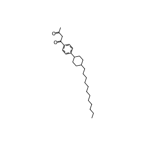 CCCCCCCCCCCCC1CCC(c2ccc(C(=O)CC(C)=O)cc2)CC1